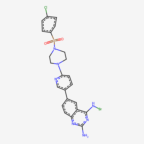 Nc1nc(NBr)c2cc(-c3ccc(N4CCN(S(=O)(=O)c5ccc(Cl)cc5)CC4)nc3)ccc2n1